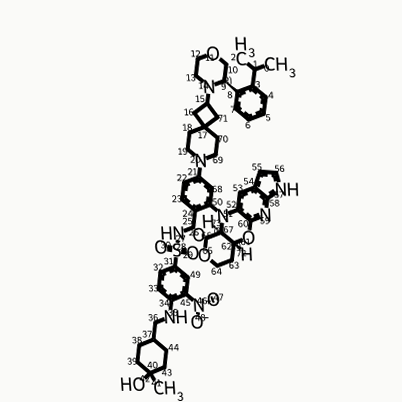 CC(C)c1ccccc1[C@@H]1COCCN1C1CC2(CCN(c3ccc(C(=O)NS(=O)(=O)c4ccc(NCC5CCC(C)(O)CC5)c([N+](=O)[O-])c4)c(N4c5cc6cc[nH]c6nc5O[C@@H]5CCOC[C@H]54)c3)CC2)C1